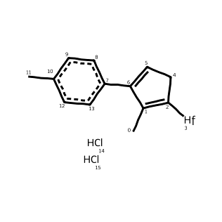 CC1=[C]([Hf])CC=C1c1ccc(C)cc1.Cl.Cl